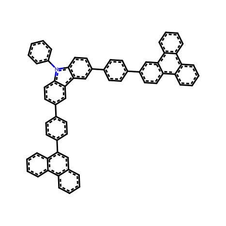 c1ccc(-n2c3ccc(-c4ccc(-c5ccc6c7ccccc7c7ccccc7c6c5)cc4)cc3c3cc(-c4ccc(-c5cc6ccccc6c6ccccc56)cc4)ccc32)cc1